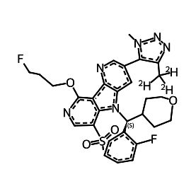 [2H]C([2H])([2H])c1nnn(C)c1-c1cnc2c3c(OCCCF)ncc(S(C)(=O)=O)c3n([C@H](c3ccccc3F)C3CCOCC3)c2c1